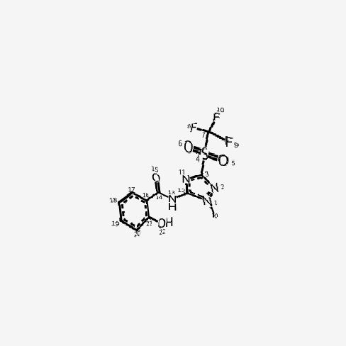 Cn1nc(S(=O)(=O)C(F)(F)F)nc1NC(=O)c1ccccc1O